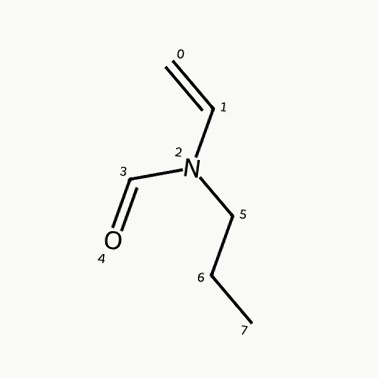 C=CN(C=O)CCC